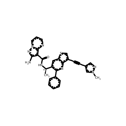 C[C@@H](NC(=O)c1c(N)nn2cccnc12)c1cc2scc(C#Cc3cnn(C)c3)c2nc1-c1ccccc1